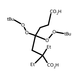 CCC(CC)(CC(CCC(=O)O)(OOC(C)(C)C)OOC(C)(C)C)C(=O)O